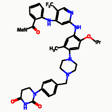 CNC(=O)c1ccccc1Nc1cc(Nc2cc(C)c(N3CCN(Cc4ccc(N5CCC(=O)NC5=O)cc4)CC3)cc2OC(C)C)ncc1C(F)(F)F